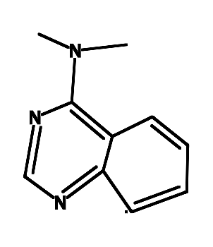 CN(C)c1ncnc2[c]cccc12